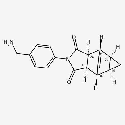 NCc1ccc(N2C(=O)[C@@H]3[C@@H]4C=C[C@@H]([C@H]5C[C@@H]45)[C@@H]3C2=O)cc1